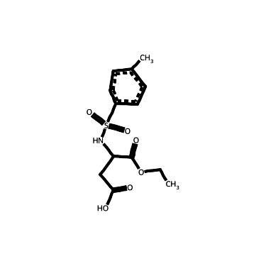 CCOC(=O)C(CC(=O)O)NS(=O)(=O)c1ccc(C)cc1